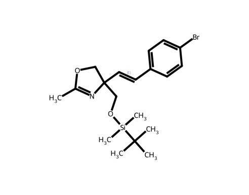 CC1=NC(/C=C/c2ccc(Br)cc2)(CO[Si](C)(C)C(C)(C)C)CO1